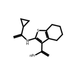 C=C(CCC)c1c(NC(=C)C2CC2)sc2c1CCCC2